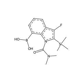 CN(C)C(=O)n1c([Si](C)(C)C)c(F)c2cccc(B(O)O)c21